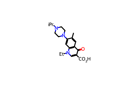 CCn1cc(C(=O)O)c(=O)c2cc(C)c(N3CCN(C(C)C)CC3)cc21